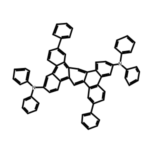 c1ccc(-c2ccc3c(c2)c2cc4c5ccc(N(c6ccccc6)c6ccccc6)cc5c5ccc(-c6ccccc6)cc5c4cc2c2ccc(N(c4ccccc4)c4ccccc4)cc32)cc1